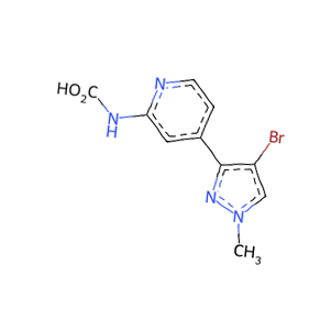 Cn1cc(Br)c(-c2ccnc(NC(=O)O)c2)n1